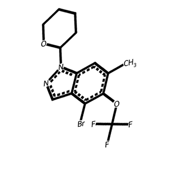 Cc1cc2c(cnn2C2CCCCO2)c(Br)c1OC(F)(F)F